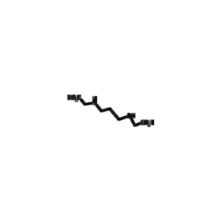 O=C(O)CNCCCNCC(=O)O